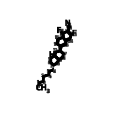 CCCCCCC[C@@H]1CC[C@@H]2CC(c3ccc4c(F)c(C#N)c(F)cc4c3)CCC2C1